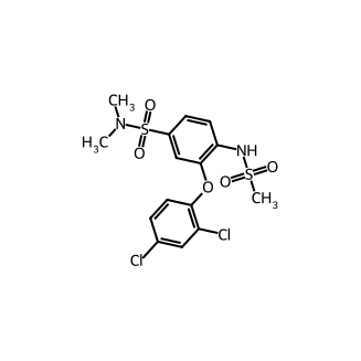 CN(C)S(=O)(=O)c1ccc(NS(C)(=O)=O)c(Oc2ccc(Cl)cc2Cl)c1